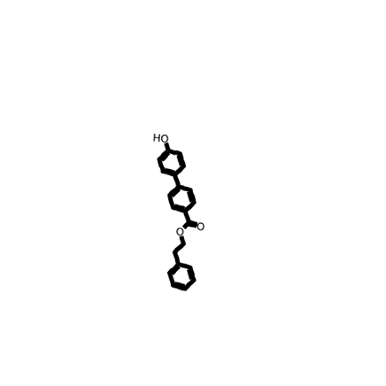 O=C(OCCc1ccccc1)c1ccc(-c2ccc(O)cc2)cc1